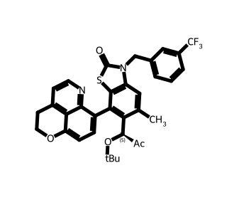 CC(=O)[C@@H](OC(C)(C)C)c1c(C)cc2c(sc(=O)n2Cc2cccc(C(F)(F)F)c2)c1-c1ccc2c3c(ccnc13)CCO2